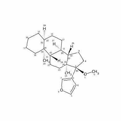 CO[C@]1(c2ccoc2)CC[C@H]2[C@@H]3CC[C@@H]4CCCC[C@]4(C)[C@H]3CC[C@@]21C